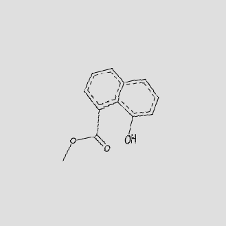 COC(=O)c1cccc2cccc(O)c12